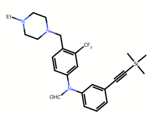 CCN1CCN(Cc2ccc(N(C=O)c3cccc(C#C[Si](C)(C)C)c3)cc2C(F)(F)F)CC1